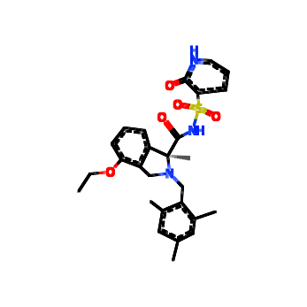 CCOc1cccc2c1CN(Cc1c(C)cc(C)cc1C)[C@]2(C)C(=O)NS(=O)(=O)c1ccc[nH]c1=O